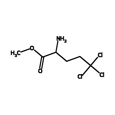 COC(=O)C(N)CCC(Cl)(Cl)Cl